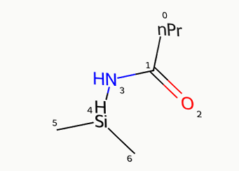 CCCC(=O)N[SiH](C)C